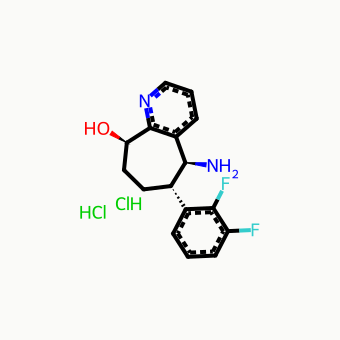 Cl.Cl.N[C@@H]1c2cccnc2[C@H](O)CC[C@H]1c1cccc(F)c1F